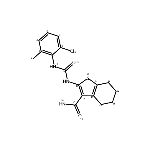 Cc1cccc(Cl)c1NC(=O)Nc1sc2c(c1C([NH])=O)CCCC2